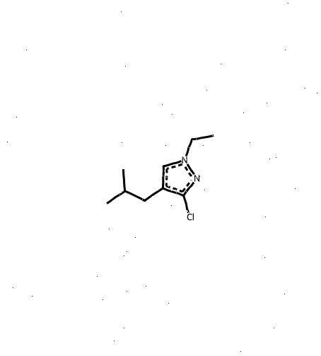 CCn1cc(CC(C)C)c(Cl)n1